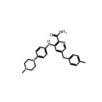 Cc1ccc(Cc2cnc(C(N)=O)c(Nc3ccc(N4CCN(C)CC4)cc3)c2)cc1